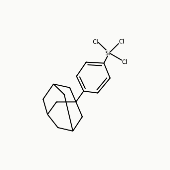 Cl[Si](Cl)(Cl)c1ccc(C23CC4CC(CC(C4)C2)C3)cc1